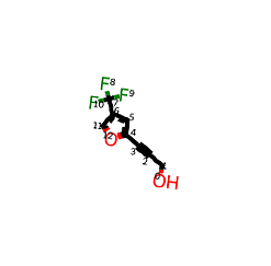 OCC#Cc1cc(C(F)(F)F)co1